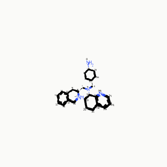 N[C@H]1CC[C@@H](CN(C[C@H]2Cc3ccccc3CN2)[C@H]2CCCc3cccnc32)CC1